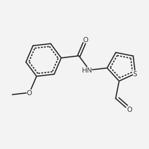 COc1cccc(C(=O)Nc2ccsc2C=O)c1